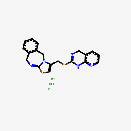 C1=C(CSC2=NCc3cccnc3N2)N2Cc3ccccc3CN=C2S1.Cl.Cl.Cl